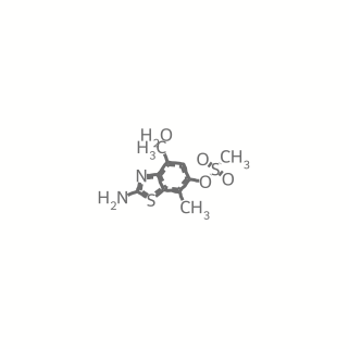 Cc1cc(OS(C)(=O)=O)c(C)c2sc(N)nc12.O